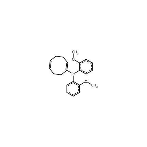 COc1cccc[c]1[Pt]([C]1=CCCC=CCC1)[c]1ccccc1OC